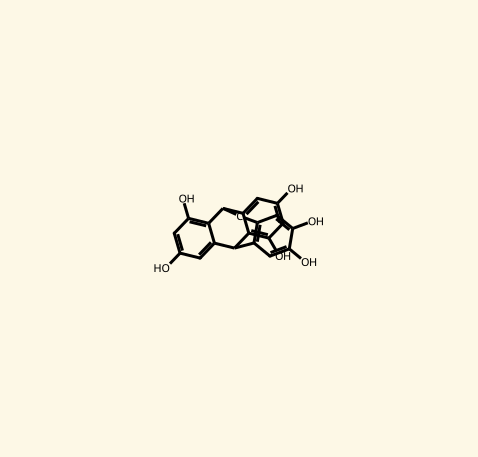 Oc1cc(O)c2c(c1)C1Cc3cc(O)c(O)cc3C2c2cc(O)cc(O)c21